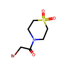 O=C(CBr)N1CCS(=O)(=O)CC1